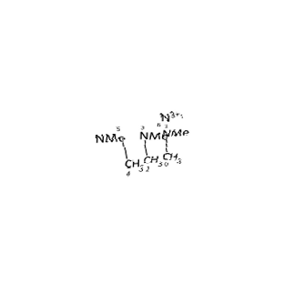 C[N-]C.C[N-]C.C[N-]C.[N+3]